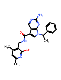 Cc1cc(C)c(CNC(=O)c2cn(C(C)c3ccccc3)c3nc(N)ncc23)c(O)n1